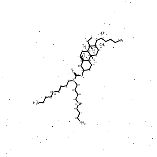 CC(C)CCC[C@@H](C)[C@H]1CC[C@H]2[C@@H]3CC=C4CC(OC(=O)N(CCCCNCCCN)CCCCNCCCN)CC[C@]4(C)[C@H]3CC[C@]12C